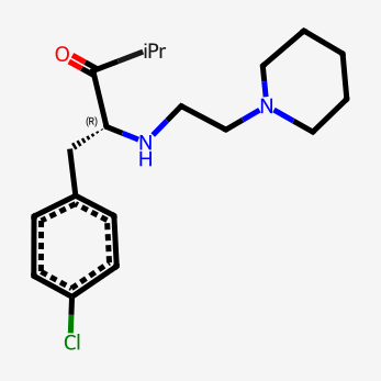 CC(C)C(=O)[C@@H](Cc1ccc(Cl)cc1)NCCN1CCCCC1